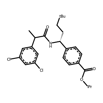 CC(C)OC(=O)c1ccc([C@@H](CCC(C)(C)C)NC(=O)C(C)c2cc(Cl)cc(Cl)c2)cc1